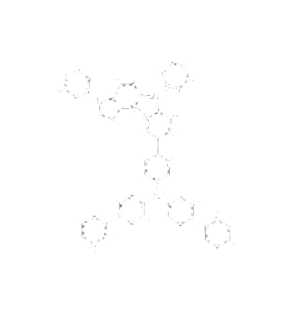 c1ccc(-n2ccc3c4c5cc(-c6ccc(N(c7ccc(-c8cccnc8)cc7)c7ccc(-c8ccccn8)cc7)cc6)ccc5n(-c5ccccc5)c4ccc32)cc1